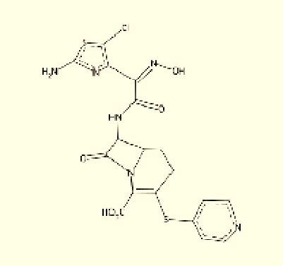 Nc1nc(/C(=N/O)C(=O)NC2C(=O)N3C(C(=O)O)=C(Sc4ccncc4)CCC23)c(Cl)s1